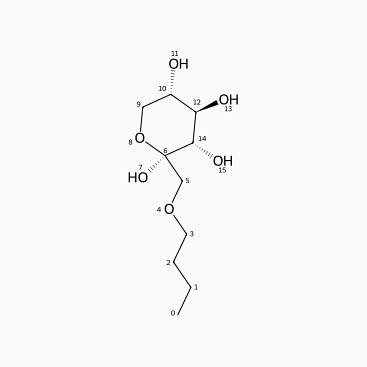 CCCCOC[C@@]1(O)OC[C@H](O)[C@@H](O)[C@@H]1O